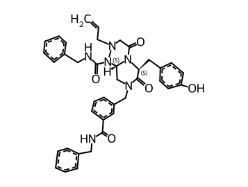 C=CCN1CC(=O)N2[C@@H](Cc3ccc(O)cc3)C(=O)N(Cc3cccc(C(=O)NCc4ccccc4)c3)C[C@@H]2N1C(=O)NCc1ccccc1